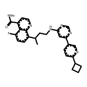 CNC(=O)c1ccnc2c(C(C)CCNc3cc(-c4ccc(C5CCC5)nc4)ncn3)ccc(F)c12